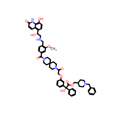 COc1cc(C(=O)N2CCC3(CCN(C(=O)COc4cccc([C@](O)(C(=O)OCC5CCN(Cc6ccccc6)CC5)c5ccccc5)c4)CC3)CC2)ccc1CNC[C@H](O)c1ccc(O)c2[nH]c(=O)ccc12